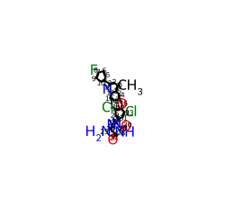 Cc1cc(-c2ccc(F)cc2)nc2ccc(Oc3c(Cl)cc(-n4nc(N)c(=O)[nH]c4=O)cc3Cl)cc12